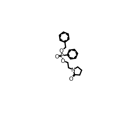 O=C1CCCN1CCOP(=O)(OCc1ccccc1)c1ccccc1